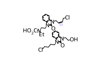 CCN(CCn1c(=O)n(C/C=C\CCl)c2ccccc21)C(=O)O.O=c1n(CCO)c2ccccc2n1CCCCCl